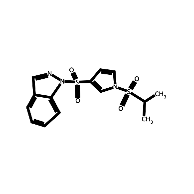 CC(C)S(=O)(=O)n1ccc(S(=O)(=O)n2ncc3ccccc32)c1